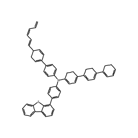 C=C/C=C\C=C\C1C=CC(c2ccc(N(C3=CC=C(C4=CC=C(C5=CC=CCC5)CC4)CC3)c3ccc(-c4cccc5c4sc4ccccc45)cc3)cc2)=CC1